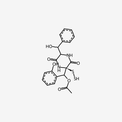 CC(=O)OC(c1ccccc1O)[C@]1(SS)NC(=O)C(C(O)c2ccccc2)NC1=O